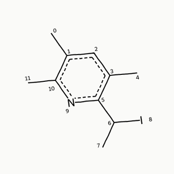 Cc1cc(C)c(C(C)I)nc1C